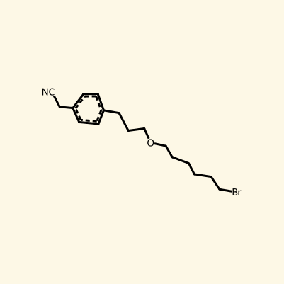 N#CCc1ccc(CCCOCCCCCCBr)cc1